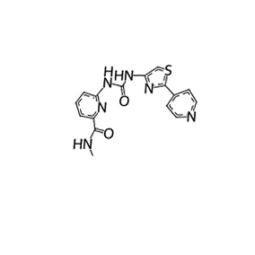 CNC(=O)c1cccc(NC(=O)Nc2csc(-c3ccncc3)n2)n1